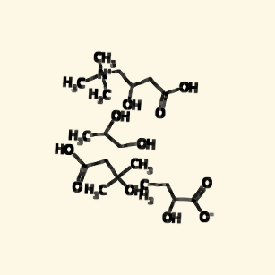 CC(C)(O)CC(=O)O.CC(O)CO.CCC(O)C(=O)[O-].C[N+](C)(C)CC(O)CC(=O)O